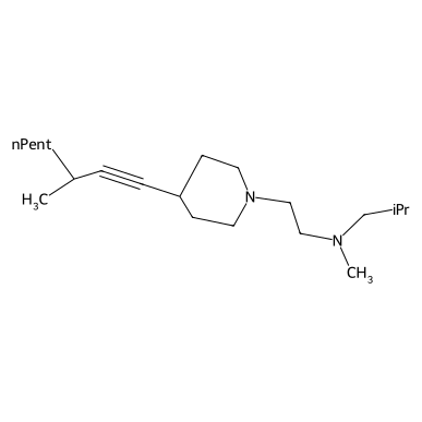 CCCCCC(C)C#CC1CCN(CCN(C)CC(C)C)CC1